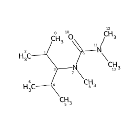 CC(C)C(C(C)C)N(C)C(=O)N(C)C